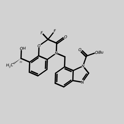 CC(C)COC(=O)n1cnc2cccc(CN3C(=O)C(F)(F)Oc4c([C@H](C)O)cccc43)c21